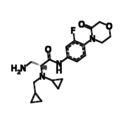 NC[C@H](C(=O)Nc1ccc(N2CCOCC2=O)c(F)c1)N(CC1CC1)C1CC1